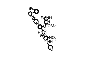 COc1nc2[nH]cc(F)c2cc1Oc1cc(N2CCC3(CC2)CN([C@H]2CCC[C@H]2c2ccccc2C(C)C)C3)ccc1C(=O)NS(=O)(=O)c1cnc(NCC2CCOCC2)c([N+](=O)[O-])c1